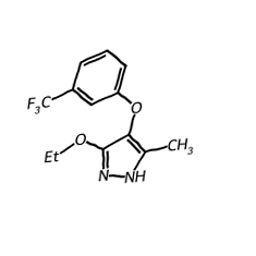 CCOc1n[nH]c(C)c1Oc1cccc(C(F)(F)F)c1